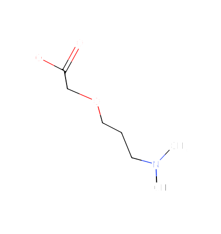 CN(C)CCCOCC([O])=O